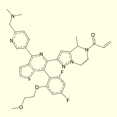 C=CC(=O)N1CCn2nc(-c3nc(-c4ccc(CN(C)C)nc4)c4ccsc4c3-c3c(F)cc(F)cc3OCCOC)cc2C1C